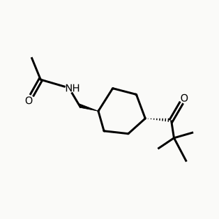 CC(=O)NC[C@H]1CC[C@H](C(=O)C(C)(C)C)CC1